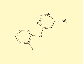 Nc1cc(Nc2ccccc2F)n[c]n1